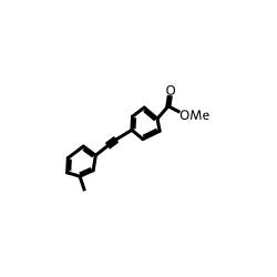 COC(=O)c1ccc(C#Cc2cccc(C)c2)cc1